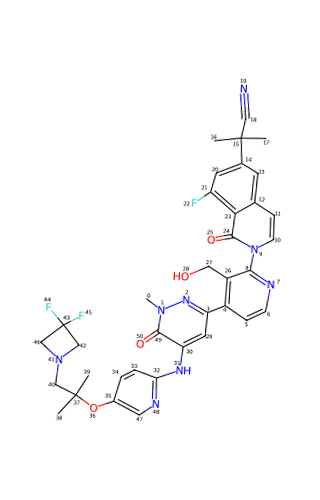 Cn1nc(-c2ccnc(-n3ccc4cc(C(C)(C)C#N)cc(F)c4c3=O)c2CO)cc(Nc2ccc(OC(C)(C)CN3CC(F)(F)C3)cn2)c1=O